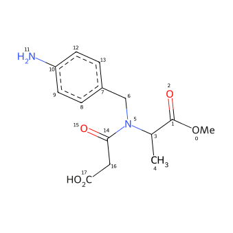 COC(=O)C(C)N(Cc1ccc(N)cc1)C(=O)CC(=O)O